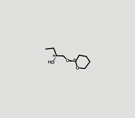 CC[C@@H](O)CO[C@H]1CCCCO1